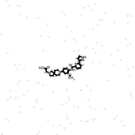 COc1cc(N2CCC3(CCN(CC(=O)O)C3)CC2)ccc1NC(=O)c1cccc(-c2cc[nH]n2)n1